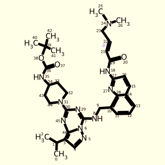 CC(C)c1cnn2c(NCc3cccc4ccc(NC(=O)/C=C/CN(C)C)nc34)nc(N3CCC(NC(=O)OC(C)(C)C)CC3)nc12